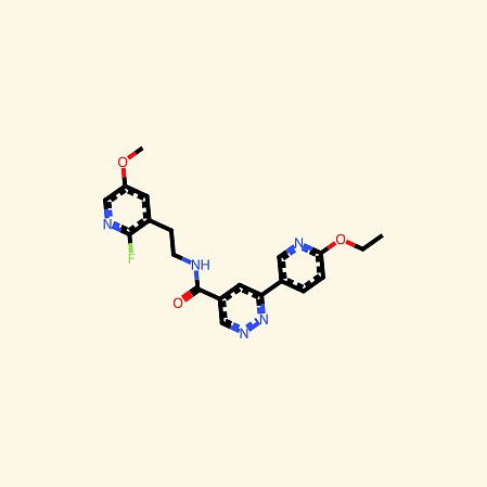 CCOc1ccc(-c2cc(C(=O)NCCc3cc(OC)cnc3F)cnn2)cn1